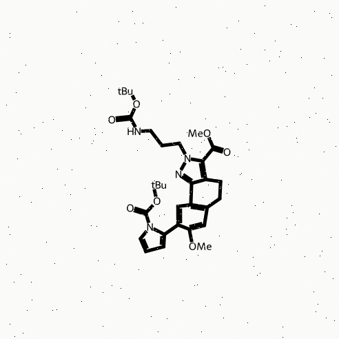 COC(=O)c1c2c(nn1CCCNC(=O)OC(C)(C)C)-c1cc(-c3cccn3C(=O)OC(C)(C)C)c(OC)cc1CC2